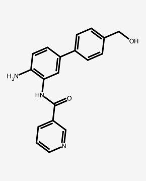 Nc1ccc(-c2ccc(CO)cc2)cc1NC(=O)c1cccnc1